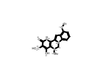 CCOc1cccc2c1cc1n2CN(C(C)(C)C)c2c-1[nH]c(=O)c(C(=O)O)c2O